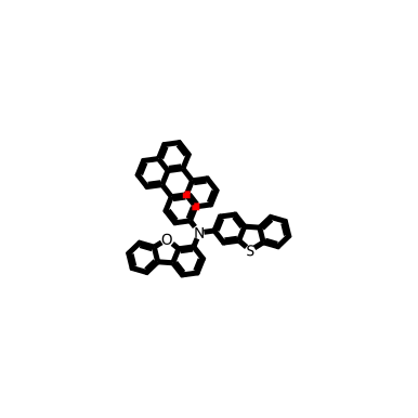 c1ccc(-c2cccc3cccc(-c4ccc(N(c5ccc6c(c5)sc5ccccc56)c5cccc6c5oc5ccccc56)cc4)c23)cc1